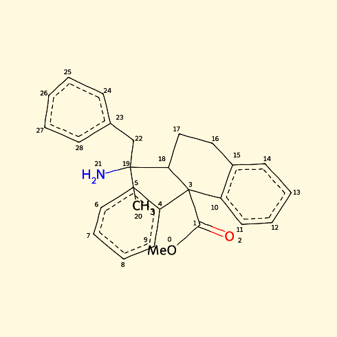 COC(=O)C1(c2ccccc2)c2ccccc2CCC1C(C)(N)Cc1ccccc1